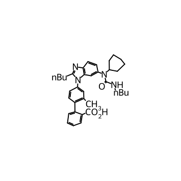 CCCCNC(=O)N(c1ccc2nc(CCCC)n(-c3ccc(-c4ccccc4C(=O)O)c(C)c3)c2c1)C1CCCCC1